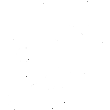 CS(=O)(=O)NC(=O)[C@H]1CCN(CCOc2cc(Br)ccc2-c2cc(=O)c3cccc(Cl)c3o2)C1